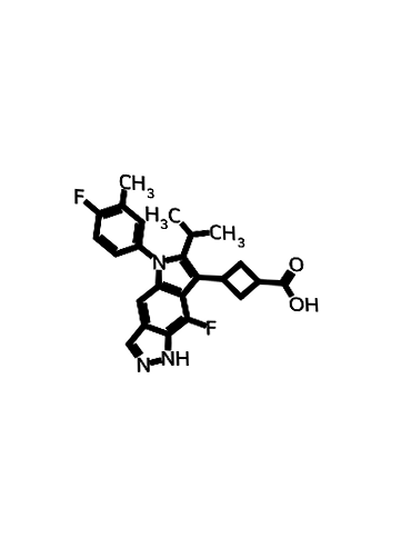 Cc1cc(-n2c(C(C)C)c(C3CC(C(=O)O)C3)c3c(F)c4[nH]ncc4cc32)ccc1F